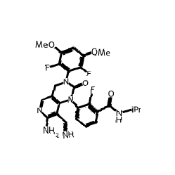 COc1cc(OC)c(F)c(N2Cc3cnc(N)c(C=N)c3N(c3cccc(C(=O)NC(C)C)c3F)C2=O)c1F